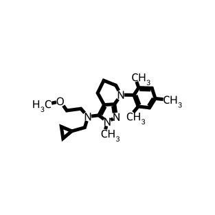 COCCN(CC1CC1)c1c2c(nn1C)N(c1c(C)cc(C)cc1C)CCC2